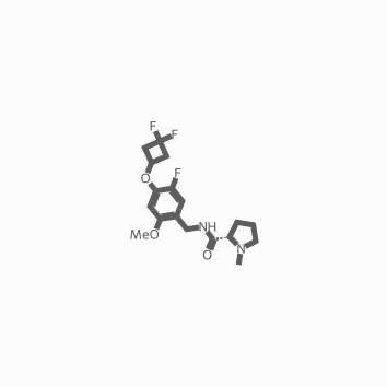 COc1cc(OC2CC(F)(F)C2)c(F)cc1CNC(=O)[C@@H]1CCCN1C